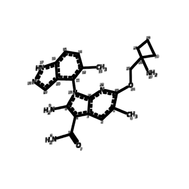 Cc1cc2c(C(N)=O)c(N)n(-c3c(C)ccc4[nH]ncc34)c2nc1OCC1(N)CCC1